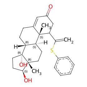 C=C(Sc1ccccc1)C1CC(=O)C=C2CC[C@@H]3[C@H](CC[C@]4(C)[C@@H](O)CC[C@@]34O)[C@]21C